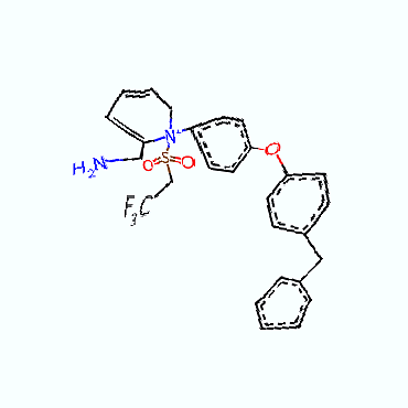 NCC1=CC=CC[N+]1(c1ccc(Oc2ccc(Cc3ccccc3)cc2)cc1)S(=O)(=O)CC(F)(F)F